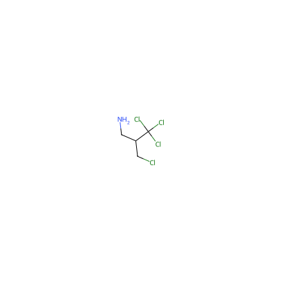 NCC(CCl)C(Cl)(Cl)Cl